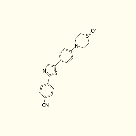 N#Cc1ccc(-c2ncc(-c3ccc(N4CC[S+]([O-])CC4)cc3)s2)cc1